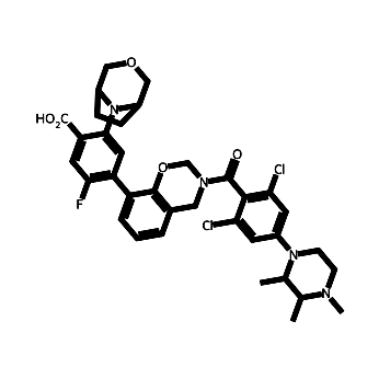 CC1C(C)N(c2cc(Cl)c(C(=O)N3COc4c(cccc4-c4cc(N5C6CCC5COC6)c(C(=O)O)cc4F)C3)c(Cl)c2)CCN1C